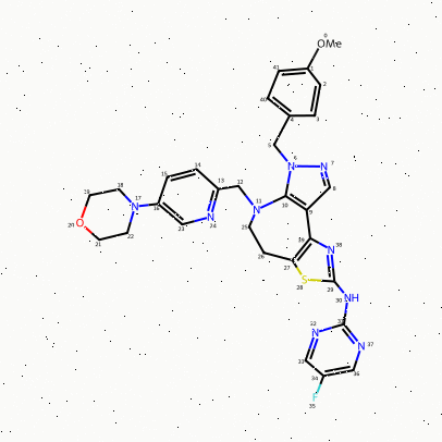 COc1ccc(Cn2ncc3c2N(Cc2ccc(N4CCOCC4)cn2)CCc2sc(Nc4ncc(F)cn4)nc2-3)cc1